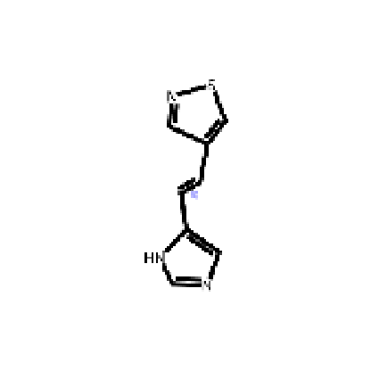 C(=C\c1cnc[nH]1)/c1cnsc1